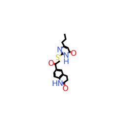 CCCc1cc(=O)[nH]c(SCC(=O)c2ccc3c(c2)CCC(=O)N3)n1